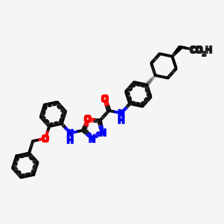 O=C(O)C[C@H]1CC[C@H](c2ccc(NC(=O)c3nnc(Nc4ccccc4OCc4ccccc4)o3)cc2)CC1